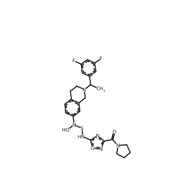 CC(c1cc(F)cc(F)c1)N1CCc2ccc(N(O)SNc3nc(C(=O)N4CCCC4)no3)cc2C1